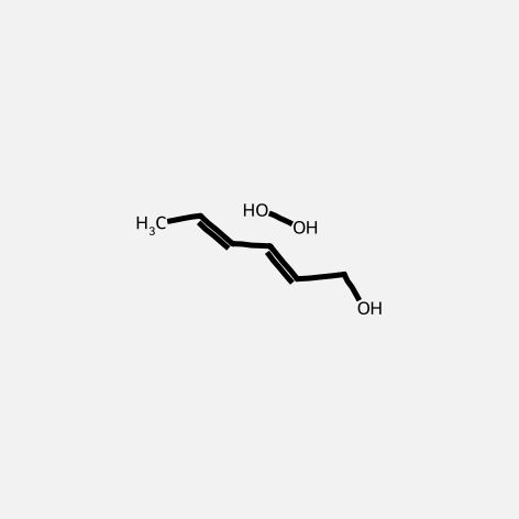 C/C=C/C=C/CO.OO